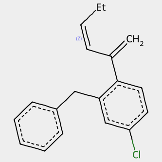 C=C(/C=C\CC)c1ccc(Cl)cc1Cc1ccccc1